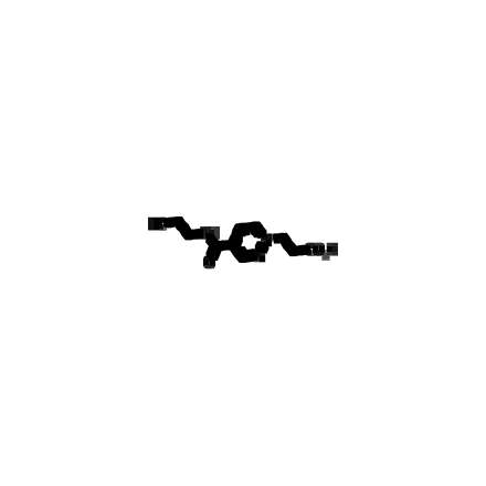 N#CCCNC(=O)c1cc[n+](CCC(=O)O)nc1